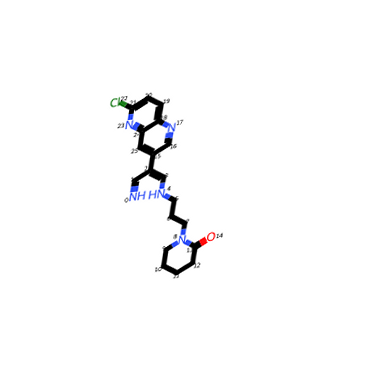 N=C/C(=C\NCCCN1CCCCC1=O)c1cnc2ccc(Cl)nc2c1